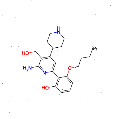 CC(C)CCCOc1cccc(O)c1-c1cc(C2CCNCC2)c(CO)c(N)n1